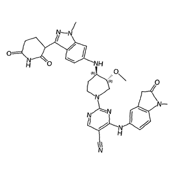 CO[C@@H]1CN(c2ncc(C#N)c(Nc3ccc4c(c3)CC(=O)N4C)n2)CC[C@H]1Nc1ccc2c(C3CCC(=O)NC3=O)nn(C)c2c1